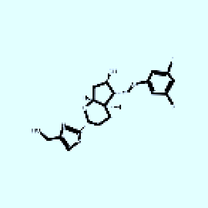 OCc1csc([C@H]2CC[C@@H]3[C@@H](COc4cc(F)cc(F)c4)[C@H](O)C[C@@H]3O2)n1